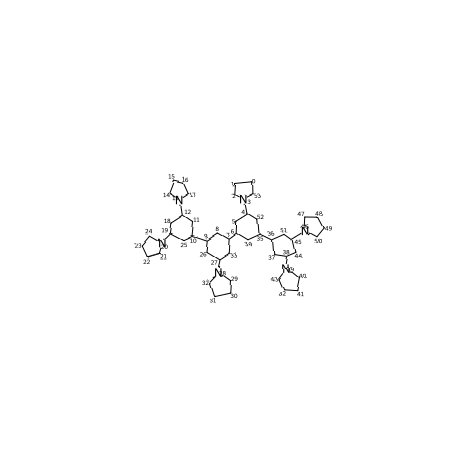 C1CCN(C2CC(C3CC(C4CC(N5CCCC5)CC(N5CCCC5)C4)CC(N4CCCC4)C3)CC(C3CC(N4CCCC4)CC(N4CCCC4)C3)C2)C1